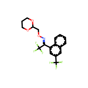 FC(F)(F)C(=NOCC1OCCCO1)c1cc(C(F)(F)F)cc2ccccc12